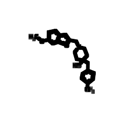 COc1ccc2cc(CN3CCC(O)(Cc4ccc(C)cc4)CC3)oc2c1